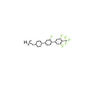 C=Cc1ccc(-c2ccc(-c3cc(F)c(C(F)(F)F)c(F)c3)c(F)c2)cc1